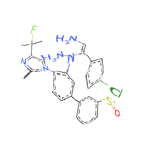 Cc1nc(C(C)(C)F)cn1-c1ccc(-c2cccc([S+]=O)c2)cc1N(N)/C(=C\N)c1ccc(Cl)cc1